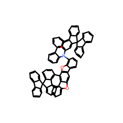 c1ccc(-c2ccccc2N(c2ccc3c(c2)C2(c4ccccc4-c4ccccc42)c2ccccc2-3)c2cccc3c2oc2c(-c4cccc5c4-c4ccccc4C54c5ccccc5-c5ccccc54)c4c(cc23)oc2ccccc24)cc1